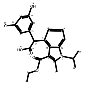 CCOC(=O)c1c(C)n(C(C)C)c2cccc(C(C(=O)O)c3cc(O)cc(Cl)c3)c12